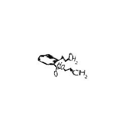 C=CCO[PH](=O)c1ccccc1CC=C